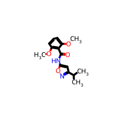 COc1cccc(OC)c1C(=O)Nc1cc(C(C)C)no1